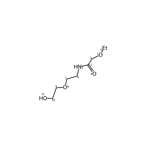 CCOCC(=O)NCCOCCO